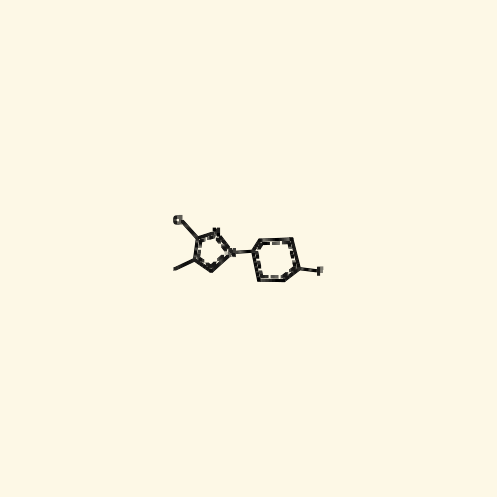 Cc1cn(-c2ccc(F)cc2)nc1Cl